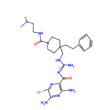 CN(C)CCNC(=O)N1CCC(CCc2cc#ccc2)(CN/C(N)=N/C(=O)c2nc(Cl)c(N)nc2N)CC1